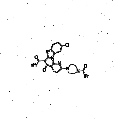 CCCC(=O)c1c(=O)c2ccc(N3CCN(C(=O)C(C)C)CC3)nc2n2c1sc1ccc(Cl)cc12